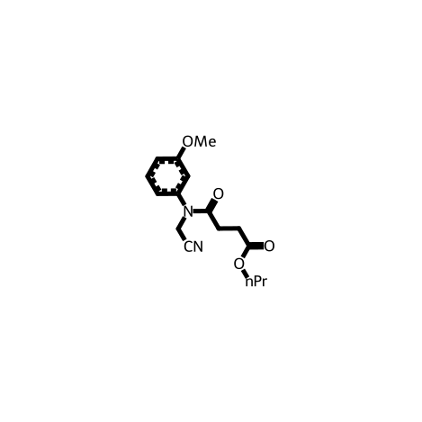 CCCOC(=O)CCC(=O)N(CC#N)c1cccc(OC)c1